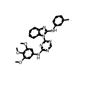 COc1cc(Nc2ncnc(-n3c(Nc4cccc(C)c4)nc4ccccc43)n2)cc(OC)c1OC